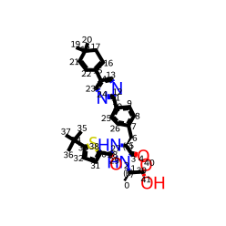 C[C@@H](NC(=O)[C@H](Cc1ccc(-c2ncc(C3=CCC(C)(C)C=C3)cn2)cc1)NC(=O)c1ccc(C(C)(C)C)s1)C(=O)O